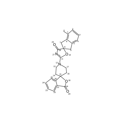 Cc1cccc2c1CC1(C2)OC(N2CCC3(CC2)OC(=O)c2ccccc23)=NC1=O